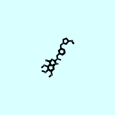 COc1cc2[nH]c(N(C)Cc3cccc(CN4CCC(OC)C4)c3)nc(=O)c2c(OC)c1OC